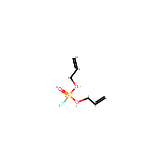 C=CCOP(=O)(F)OCC=C